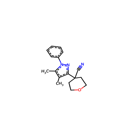 Cc1c(C2(C#N)CCOCC2)nn(-c2ccccc2)c1C